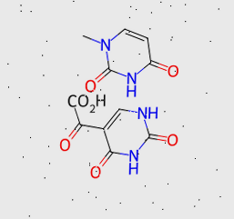 Cn1ccc(=O)[nH]c1=O.O=C(O)C(=O)c1c[nH]c(=O)[nH]c1=O